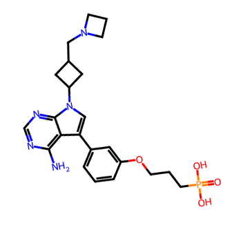 Nc1ncnc2c1c(-c1cccc(OCCCP(=O)(O)O)c1)cn2C1CC(CN2CCC2)C1